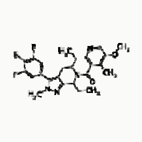 CCC1Cc2c(nn(C)c2-c2cc(F)c(F)c(F)c2)C(CC)N1C(=O)c1cncc(OC)c1C